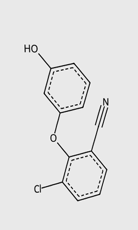 N#Cc1cccc(Cl)c1Oc1cccc(O)c1